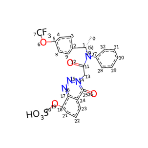 C[C@@H](c1ccc(OC(F)(F)F)cc1)N(C(=O)Cn1nnc2c(OS(=O)(=O)O)cccc2c1=O)c1ccccc1